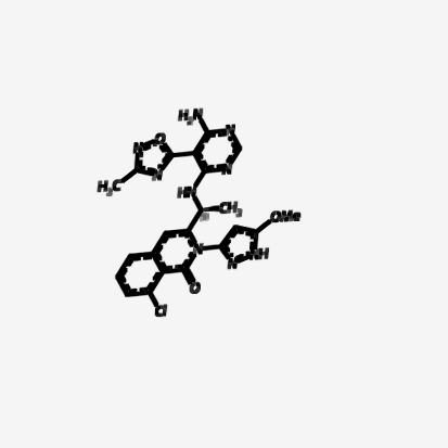 COc1cc(-n2c([C@H](C)Nc3ncnc(N)c3-c3nc(C)no3)cc3cccc(Cl)c3c2=O)n[nH]1